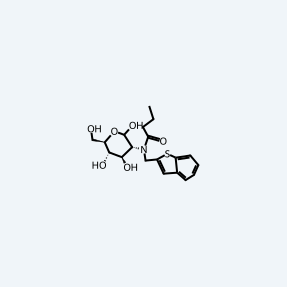 CCCC(=O)N(Cc1cc2ccccc2s1)[C@H]1C(O)O[C@H](CO)[C@@H](O)[C@@H]1O